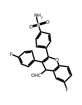 NS(=O)(=O)c1ccc(C2=C(c3ccc(F)cc3)C(C=O)c3cc(F)ccc3O2)cc1